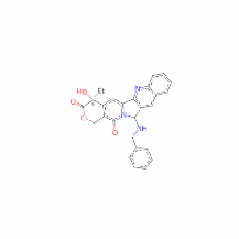 CC[C@@]1(O)C(=O)OCc2c1cc1n(c2=O)C(NCc2ccccc2)c2cc3ccccc3nc2-1